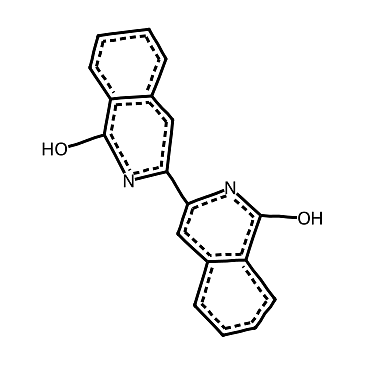 Oc1nc(-c2cc3ccccc3c(O)n2)cc2ccccc12